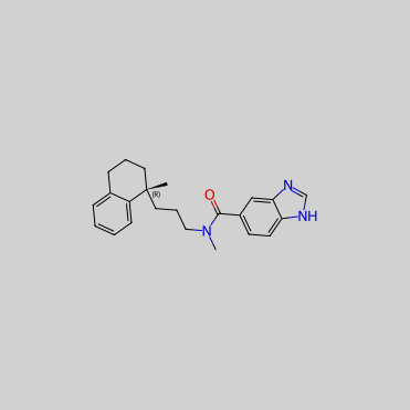 CN(CCC[C@@]1(C)CCCc2ccccc21)C(=O)c1ccc2[nH]cnc2c1